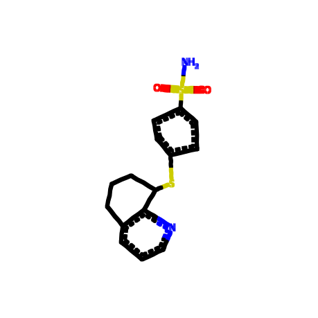 NS(=O)(=O)c1ccc(SC2CCCc3cccnc32)cc1